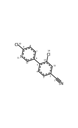 N#Cc1ccc(-c2ccc(Cl)nc2)c(Cl)c1